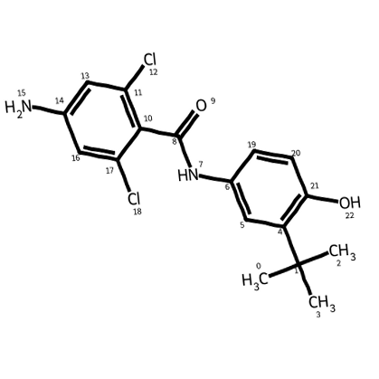 CC(C)(C)c1cc(NC(=O)c2c(Cl)cc(N)cc2Cl)ccc1O